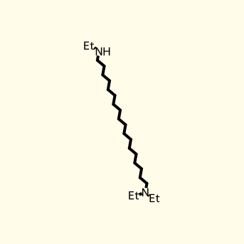 CCNCCCCCCCCCCCCCCCCCCN(CC)CC